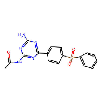 CC(=O)Nc1nc(N)nc(-c2ccc(S(=O)(=O)c3ccccc3)cc2)n1